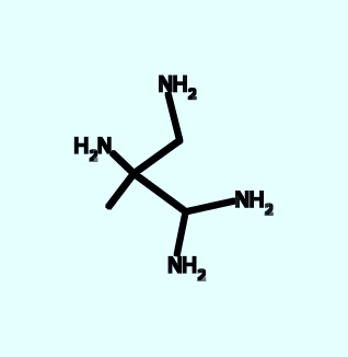 CC(N)(CN)C(N)N